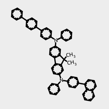 CC1(C)c2cc(N(c3ccccc3)c3ccc(-c4ccc(-c5ccccc5)cc4)cc3)ccc2-c2ccc(N(c3ccccc3)c3ccc(-c4cccc5ccccc45)cc3)cc21